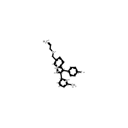 C=CCOCc1ccc2c(-c3ccc(F)cc3)c(-c3cccc(C)n3)nn2c1